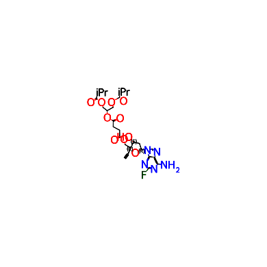 C#C[C@]1(COC(=O)CCC(=O)OC(COC(=O)C(C)C)COC(=O)C(C)C)O[C@@H](n2cnc3c(N)nc(F)nc32)C[C@@H]1O